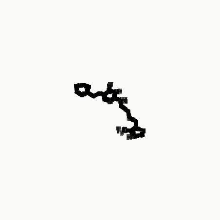 O=c1[nH]c(NCCSCc2nc[nH]c2C(F)(F)F)ncc1CCc1ccccc1